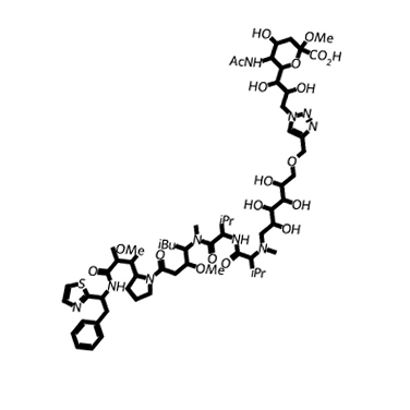 CCC(C)C(C(CC(=O)N1CCCC1C(OC)C(C)C(=O)NC(Cc1ccccc1)c1nccs1)OC)N(C)C(=O)C(NC(=O)C(C(C)C)N(C)CC(O)C(O)C(O)C(O)COCc1cn(CC(O)C(O)C2OC(OC)(C(=O)O)CC(O)C2NC(C)=O)nn1)C(C)C